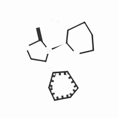 O=C1OC[C@@H](c2ccccc2)N1[C@@H]1OCCC[C@H]1Br